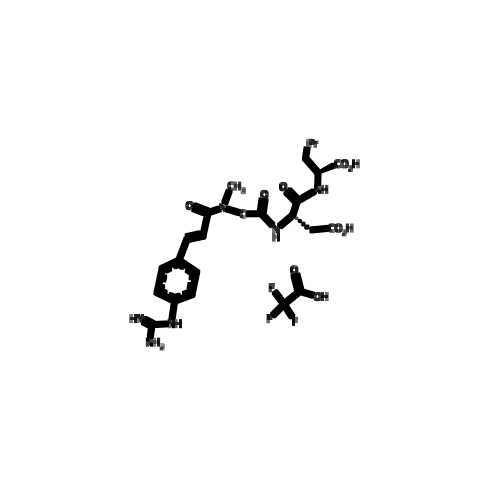 CC(C)C[C@H](NC(=O)[C@H](CC(=O)O)NC(=O)CN(C)C(=O)C=Cc1ccc(NC(=N)N)cc1)C(=O)O.O=C(O)C(F)(F)F